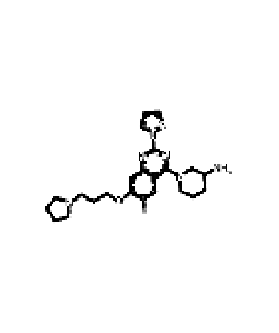 NC1CCCN(c2nc(-n3cccn3)nc3cc(OCCCN4CCCC4)c(F)cc23)C1